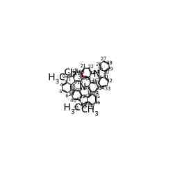 CC1(C)c2ccccc2-c2c(N(c3ccccc3-c3ccccc3-n3c4ccccc4c4ccccc43)c3cccc4c3-c3ccccc3C4(C)C)cccc21